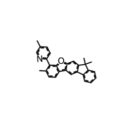 Cc1ccc(-c2c(C)ccc3c2oc2cc4c(cc23)-c2ccccc2C4(C)C)nc1